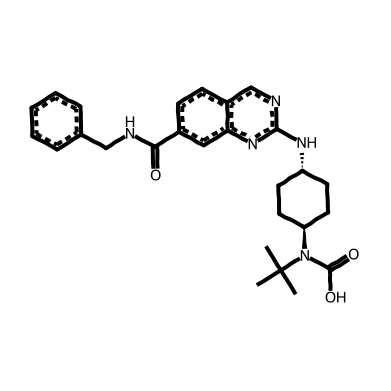 CC(C)(C)N(C(=O)O)[C@H]1CC[C@H](Nc2ncc3ccc(C(=O)NCc4ccccc4)cc3n2)CC1